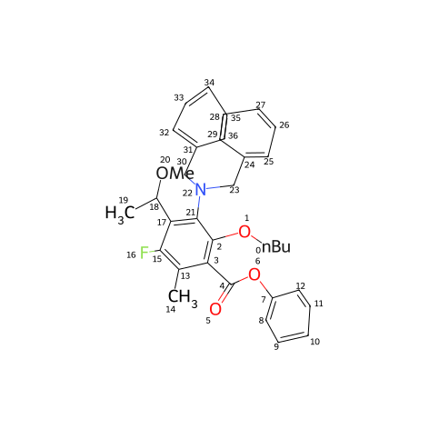 CCCCOc1c(C(=O)Oc2ccccc2)c(C)c(F)c(C(C)OC)c1N(Cc1ccccc1)Cc1ccccc1